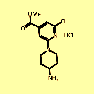 COC(=O)c1cc(Cl)nc(N2CCC(N)CC2)c1.Cl